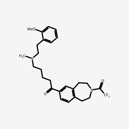 COc1ccccc1CCN(C)CCCCC(=O)c1ccc2c(c1)CCN(C(=O)C(F)(F)F)CC2